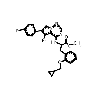 COC(=O)C(Cc1ccccc1OCC1CC1)Nc1ncnn2cc(-c3ccc(F)cc3)c(Br)c12